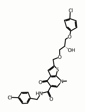 Cn1cc(C(=O)NCc2ccc(Cl)cc2)c(=O)c2cc(COC[C@@H](O)COc3ccc(Cl)cc3)sc21